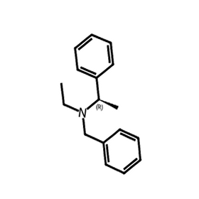 CCN(Cc1ccccc1)[C@H](C)c1ccccc1